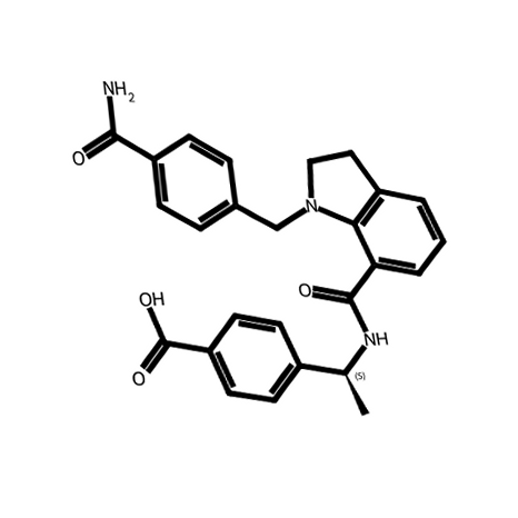 C[C@H](NC(=O)c1cccc2c1N(Cc1ccc(C(N)=O)cc1)CC2)c1ccc(C(=O)O)cc1